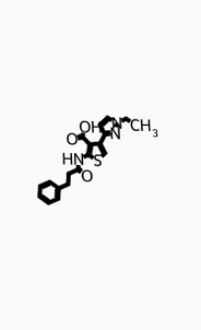 CCn1ccc(-c2csc(NC(=O)CCc3ccccc3)c2C(=O)O)n1